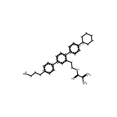 C=C(C)C(=O)OCCc1cc(-c2ccc(CCCO)cc2)ccc1-c1ccc(C2CCCCC2)cc1